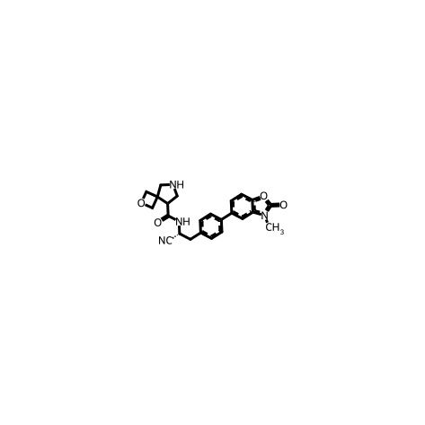 Cn1c(=O)oc2ccc(-c3ccc(C[C@H](C#N)NC(=O)C4CNCC45COC5)cc3)cc21